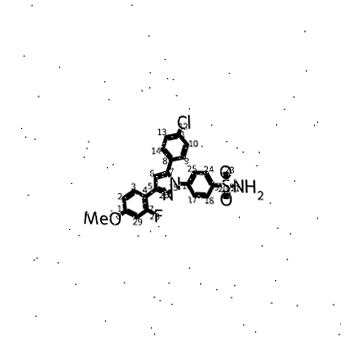 COc1ccc(-c2cc(-c3ccc(Cl)cc3)n(-c3ccc(S(N)(=O)=O)cc3)n2)c(F)c1